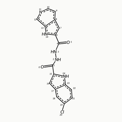 O=C(NNC(=O)c1cc2ccncc2[nH]1)c1cc2cc(Cl)ccc2[nH]1